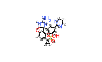 CN1C(=O)C(c2cccc(-c3ncccn3)c2)(c2cccc(C3(S(=O)(=O)O)CC3)c2)N=C1N